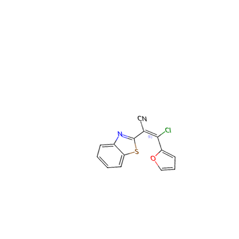 N#C/C(=C(\Cl)c1ccco1)c1nc2ccccc2s1